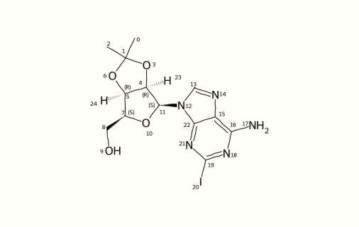 CC1(C)O[C@@H]2[C@H](O1)[C@H](CO)O[C@@H]2n1cnc2c(N)nc(I)nc21